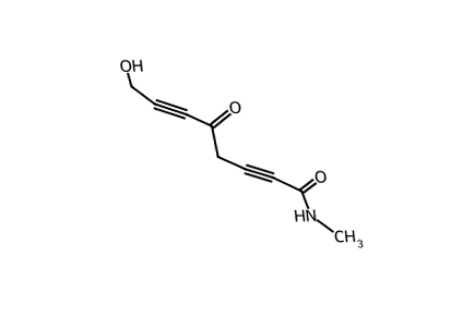 CNC(=O)C#CCC(=O)C#CCO